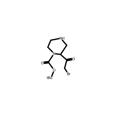 CC(C)(C)OC(=O)N1CCNCC1C(=O)CBr